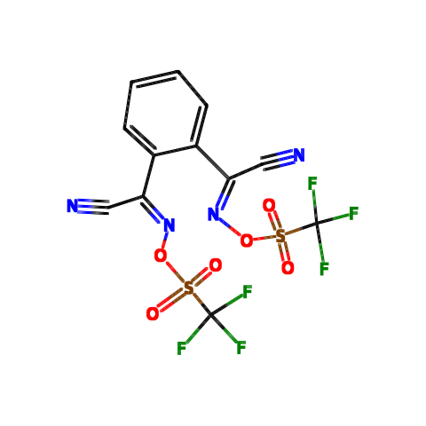 N#CC(=NOS(=O)(=O)C(F)(F)F)c1ccccc1C(C#N)=NOS(=O)(=O)C(F)(F)F